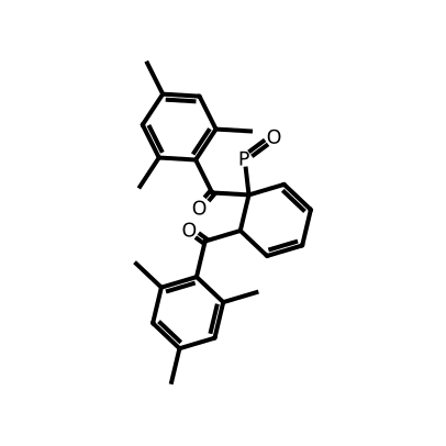 Cc1cc(C)c(C(=O)C2C=CC=CC2(P=O)C(=O)c2c(C)cc(C)cc2C)c(C)c1